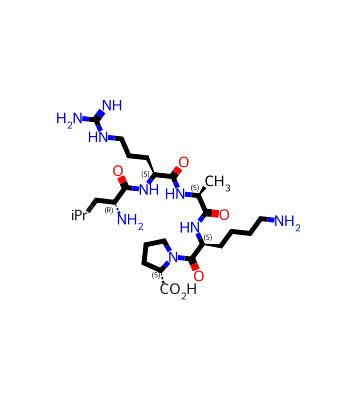 CC(C)C[C@@H](N)C(=O)N[C@@H](CCCNC(=N)N)C(=O)N[C@@H](C)C(=O)N[C@@H](CCCCN)C(=O)N1CCC[C@H]1C(=O)O